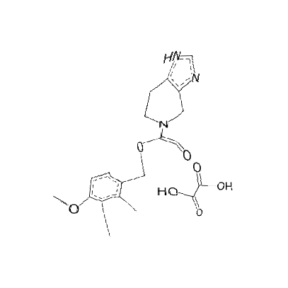 COc1ccc(COC(=O)N2CCc3[nH]cnc3C2)c(C)c1C.O=C(O)C(=O)O